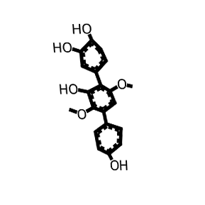 COc1cc(-c2ccc(O)cc2)c(OC)c(O)c1-c1ccc(O)c(O)c1